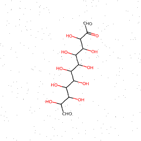 O=[C]C(=O)C(O)C(O)C(O)C(O)C(O)C(O)C(O)C(O)C(O)C=O